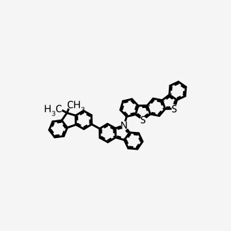 CC1(C)c2ccccc2-c2cc(-c3ccc4c5ccccc5n(-c5cccc6c5sc5cc7sc8ccccc8c7cc56)c4c3)ccc21